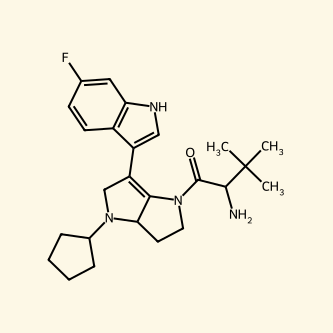 CC(C)(C)C(N)C(=O)N1CCC2C1=C(c1c[nH]c3cc(F)ccc13)CN2C1CCCC1